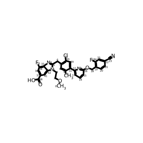 COCCn1c(Cc2cc(C)c(-c3cccc(OCc4ccc(C#N)cc4F)n3)cc2Cl)nc2c(F)cc(C(=O)O)cc21